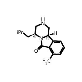 CC(C)C[C@H]1CNC[C@@H]2c3cccc(C(F)(F)F)c3C(=O)N12